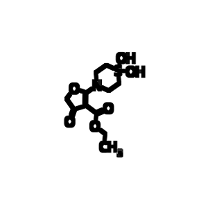 CCOC(=O)C1=C(N2CCS(O)(O)CC2)OCC1=O